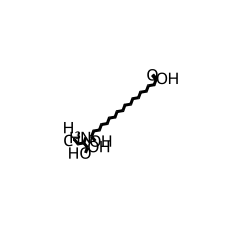 CCCC(NC(O)CCCCCCCCCCCCCCCCC(=O)O)C(O)O